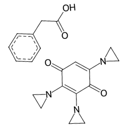 O=C(O)Cc1ccccc1.O=C1C=C(N2CC2)C(=O)C(N2CC2)=C1N1CC1